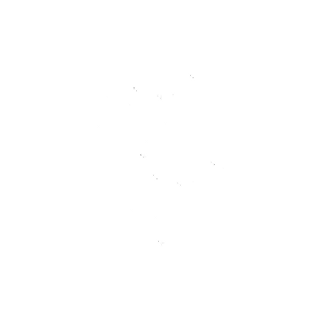 NCC(=O)Nc1ccc([N+](=O)[O-])cc1C(=NO)c1ccccc1.NCC(=O)Nc1ccc([N+](=O)[O-])cc1C(=NO)c1ccccc1Cl